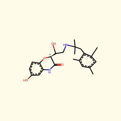 Cc1cc(C)c(CC(C)(C)NCC(O)[C@@H]2Oc3ccc(O)cc3NC2=O)c(C)c1